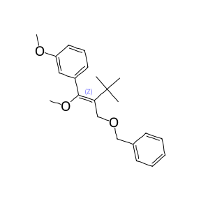 CO/C(=C(\COCc1ccccc1)C(C)(C)C)c1cccc(OC)c1